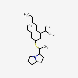 CCCCCC(CC(CCCC)SC(C)C1CCC2CCCN21)C(C)C